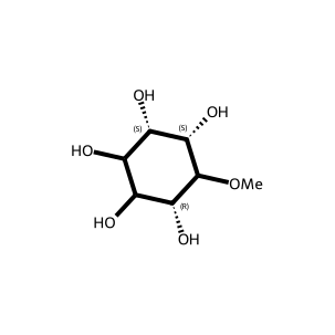 COC1[C@H](O)C(O)C(O)[C@H](O)[C@@H]1O